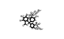 O.O.O.O.O=C1OC(c2ccc(O)c(S(=O)(=O)[O-])c2)(c2ccc(O)c(S(=O)(=O)[O-])c2)c2c(Br)c(Br)c(Br)c(Br)c21.[Na+].[Na+]